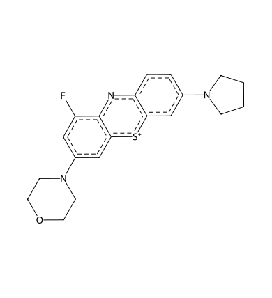 Fc1cc(N2CCOCC2)cc2[s+]c3cc(N4CCCC4)ccc3nc12